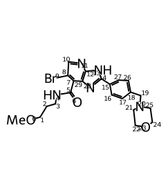 COCCCNC(=O)c1c(Br)cnc2[nH]c(-c3ccc(CN4CCOCC4)cc3)nc12